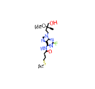 C#CC(CO)(CCn1cnc2c(NC(=O)CCCSC(C)=O)nc(F)nc21)OC